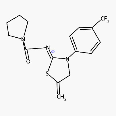 C=C1CN(c2ccc(C(F)(F)F)cc2)/C(=N/C(=O)N2CCCC2)S1